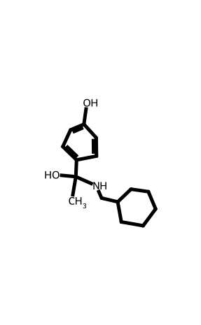 CC(O)(NCC1CCCCC1)c1ccc(O)cc1